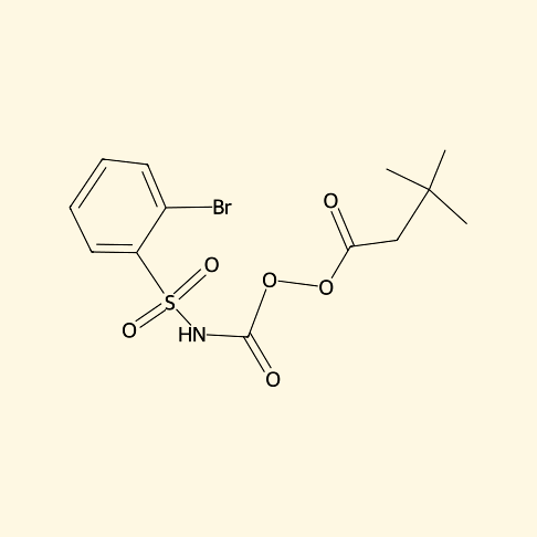 CC(C)(C)CC(=O)OOC(=O)NS(=O)(=O)c1ccccc1Br